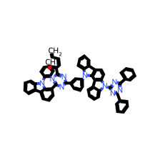 C=C/C=C\C(=C/C)c1nc(-c2cccc(-n3c4ccccc4c4ccc5c(c6ccccc6n5-c5nc(-c6ccccc6)nc(-c6ccccc6)n5)c43)c2)nc(-c2cccc3c4ccccc4n(-c4ccccc4)c23)n1